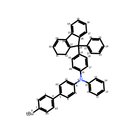 CC(C)(C)c1ccc(-c2ccc(N(c3ccccc3)c3ccc(C4(c5ccccc5)C5=C(C=CCC5)c5ccccc54)cc3)cc2)cc1